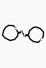 C1CCCCCC(=NN=C2CCCCCCCCCC2)CCCC1